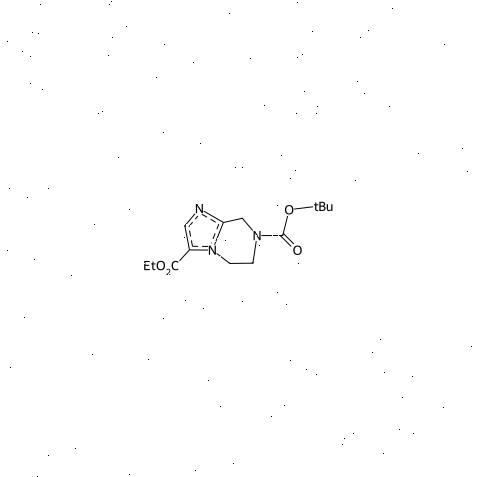 CCOC(=O)c1cnc2n1CCN(C(=O)OC(C)(C)C)C2